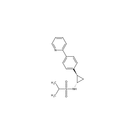 CC(C)S(=O)(=O)N[C@H]1C[C@@H]1c1ccc(-c2ccccn2)cc1